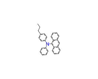 CCCc1ccc(N(c2ccccc2)c2c3ccccc3cc3ccccc23)cc1